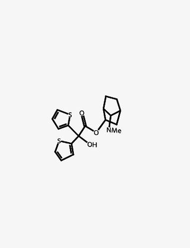 CNC1C2CCC1C(OC(=O)C(O)(c1cccs1)c1cccs1)C2